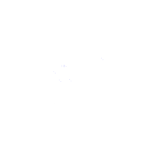 CCCCc1nc(N)c2[nH]cc(CCCCCN3CCC3)c2n1